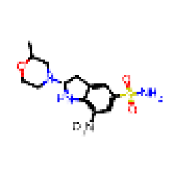 CC1CN([C@H]2Cc3cc(S(N)(=O)=O)cc([N+](=O)[O-])c3N2)CCO1